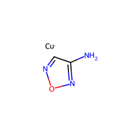 Nc1cnon1.[Cu]